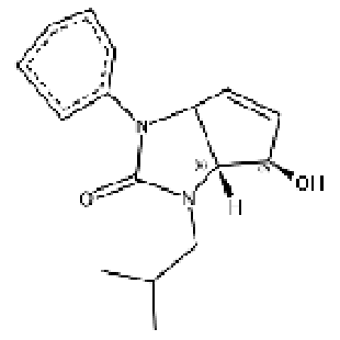 CC(C)CN1C(=O)N(c2ccccc2)C2C=C[C@@H](O)[C@@H]21